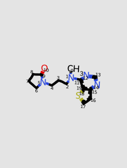 CN(CCCN1CCCC1=O)c1ncnc2ccsc12